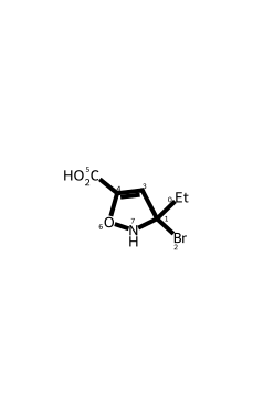 CCC1(Br)C=C(C(=O)O)ON1